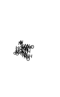 Cn1ccnc1SC[C@H]1O[C@@H](n2cnc3c(N[C@H]4CCOC4)ncnc32)[C@H](O)[C@@H]1O.O[C@@H]1[C@H](O)[C@@H](CSc2nc3ccccc3o2)O[C@H]1n1cnc2c(N[C@@H]3CCOC3)ncnc21